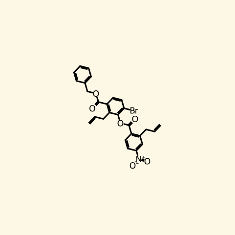 C=CCc1cc([N+](=O)[O-])ccc1C(=O)Oc1c(Br)ccc(C(=O)OCc2ccccc2)c1CC=C